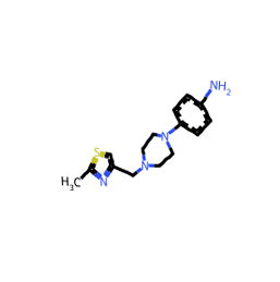 Cc1nc(CN2CCN(c3ccc(N)cc3)CC2)cs1